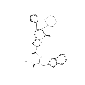 COC(=O)[C@H](Cc1cc2ccccc2[nH]1)NC(=O)c1cc2[nH]c(-c3ccco3)c(C3CCCCC3)c(=O)n2n1